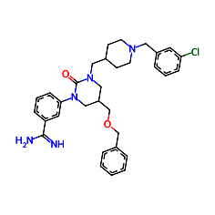 N=C(N)c1cccc(N2CC(COCc3ccccc3)CN(CC3CCN(Cc4cccc(Cl)c4)CC3)C2=O)c1